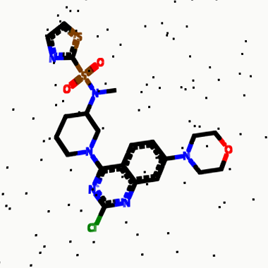 CN(C1CCCN(c2nc(Cl)nc3cc(N4CCOCC4)ccc23)C1)S(=O)(=O)c1nccs1